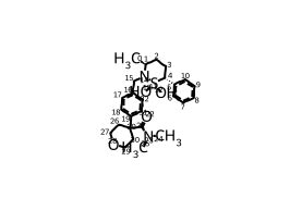 C[C@H]1CC[C@H](c2ccccc2)S(O)(O)N1Cc1ccc(C2(C(=O)N(C)C)CCOCC2)cc1